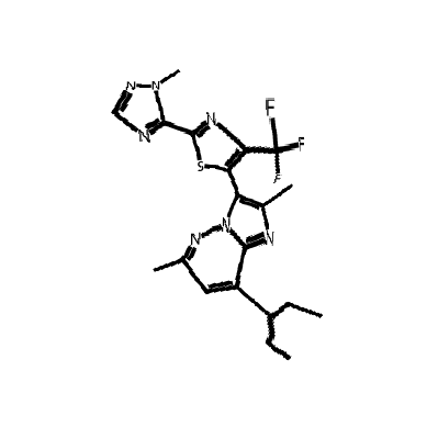 CCC(CC)c1cc(C)nn2c(-c3sc(-c4ncnn4C)nc3C(F)(F)F)c(C)nc12